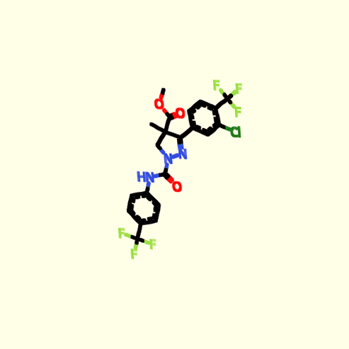 COC(=O)C1(C)CN(C(=O)Nc2ccc(C(F)(F)F)cc2)N=C1c1ccc(C(F)(F)F)c(Cl)c1